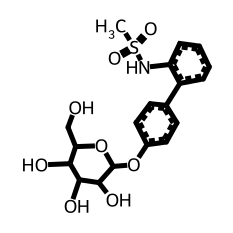 CS(=O)(=O)Nc1ccccc1-c1ccc(OC2OC(CO)C(O)C(O)C2O)cc1